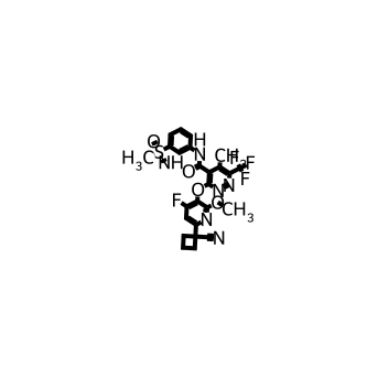 COc1nc(C2(C#N)CCC2)cc(F)c1Oc1nnc(C(F)(F)F)c(C)c1C(=O)Nc1cccc(S(C)(=N)=O)c1